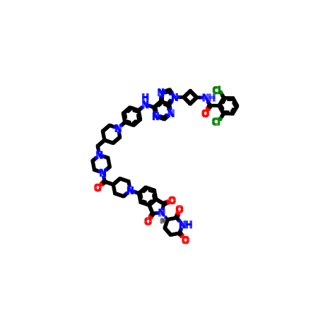 O=C1CC[C@H](N2C(=O)c3ccc(N4CCC(C(=O)N5CCN(CC6CCN(c7ccc(Nc8ncnc9c8ncn9C8CC(NC(=O)c9c(Cl)cccc9Cl)C8)cc7)CC6)CC5)CC4)cc3C2=O)C(=O)N1